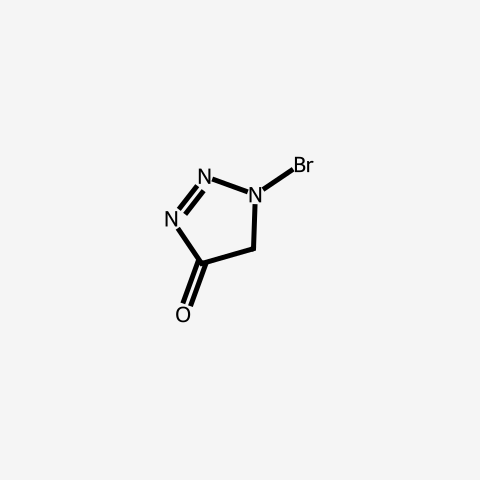 O=C1CN(Br)N=N1